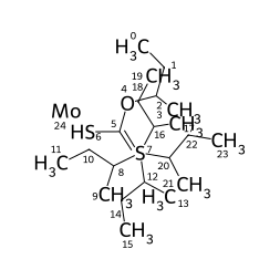 CCC(C)OC(S)=S(C(C)CC)(C(C)CC)(C(C)CC)C(C)CC.[Mo]